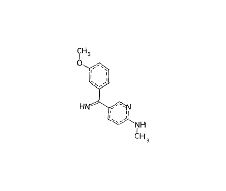 CNc1ccc(C(=N)c2cccc(OC)c2)cn1